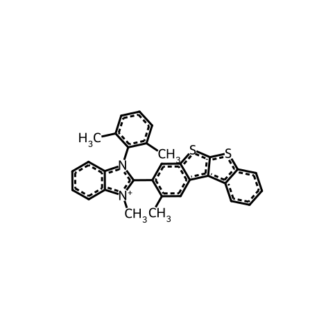 Cc1cc2c(cc1-c1n(-c3c(C)cccc3C)c3ccccc3[n+]1C)sc1sc3ccccc3c12